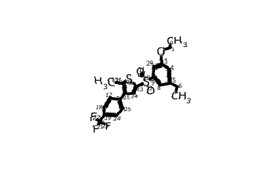 CCOc1cc(CC)cc(S(=O)(=O)c2cc(-c3ccc(C(F)(F)F)cc3)c(C)s2)c1